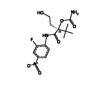 CC(C)(C)[C@](CCO)(OC(N)=O)C(=O)Nc1ccc([N+](=O)[O-])cc1F